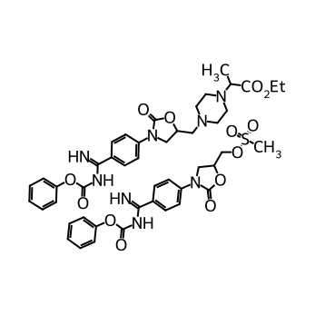 CCOC(=O)C(C)N1CCN(CC2CN(c3ccc(C(=N)NC(=O)Oc4ccccc4)cc3)C(=O)O2)CC1.CS(=O)(=O)OCC1CN(c2ccc(C(=N)NC(=O)Oc3ccccc3)cc2)C(=O)O1